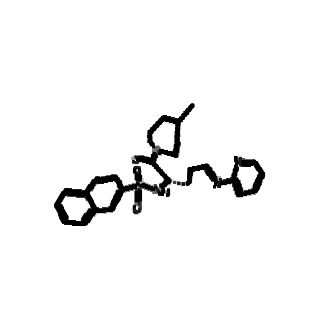 CC1CCN(C(=O)[C@H](CC/C=N/c2ccccn2)NS(=O)(=O)c2ccc3ccccc3c2)CC1